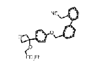 CCOC(=O)COC1(c2ccc(OCc3cccc(-c4ccccc4CC#N)c3)cc2)COC1